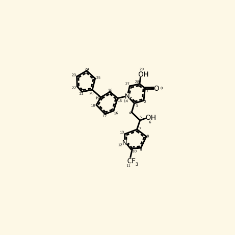 O=c1cc(CC(O)c2ccc(C(F)(F)F)nc2)n(-c2cccc(-c3ccccc3)c2)cc1O